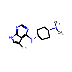 CN(C)[C@H]1CC[C@H](Nc2ncnc3[nH]cc(C#N)c23)CC1